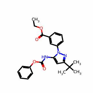 CCOC(=O)c1cccc(-n2nc(C(C)(C)C)cc2NC(=O)Oc2ccccc2)c1